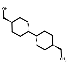 CC[C@H]1CC[C@H]([C@H]2CC[C@H](CO)CC2)CC1